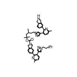 Cc1ccc(-c2cnn(CCC(C)CC(C)(C)OC(=O)N3Cc4ccc(-c5nc(C)ccc5-c5cnn(CCC(C)C)c5)cc4C3)c2)c(-c2ccc3c(c2)CNC3)n1